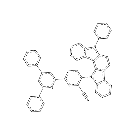 N#Cc1cc(-c2cc(-c3ccccc3)cc(-c3ccccc3)n2)ccc1-n1c2ccccc2c2ccc3c(c4ccccc4n3-c3ccccc3)c21